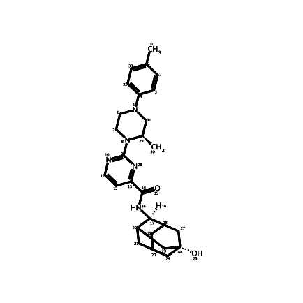 Cc1ccc(N2CCN(c3nccc(C(=O)N[C@H]4C5CC6CC4C[C@](O)(C6)C5)n3)[C@H](C)C2)cc1